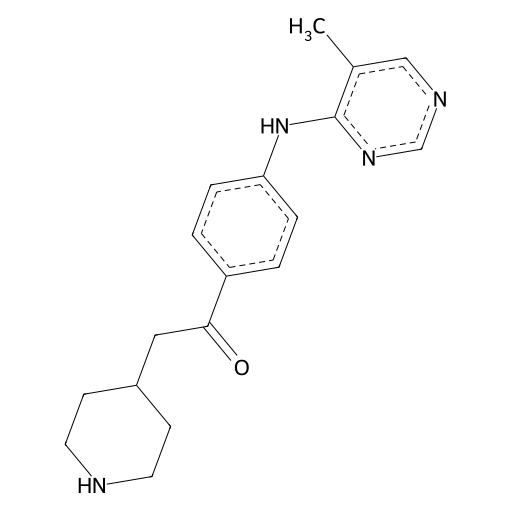 Cc1cncnc1Nc1ccc(C(=O)CC2CCNCC2)cc1